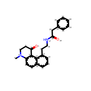 CN1CCC(=O)c2c1ccc1cccc(CCNC(=O)Cc3ccccc3)c21